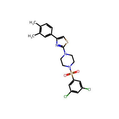 Cc1ccc(-c2csc(N3CCN(S(=O)(=O)c4cc(Cl)cc(Cl)c4)CC3)n2)cc1C